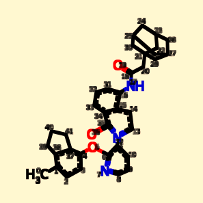 Cc1ccc(Oc2ncccc2-n2ccc3c(NC(=O)CC45CC6CC(CC(C6)C4)C5)cccc3c2=O)c2c1CCC2